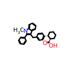 Cn1c(-c2ccccc2)c(Cc2ccc([C@@H]3CCCC[C@H]3C(=O)O)cc2)c2ccccc21